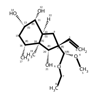 C=C[C@]1([C@H](OC)OCC)C[C@@H]2[C@@H](O)[C@@H](O)C[C@@H](C)[C@]2(C)[C@H]1O